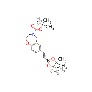 CC(C)(C)OC(=O)N1CCOc2ccc(/C=C/B3OC(C)(C)C(C)(C)O3)cc2C1